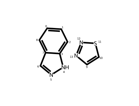 c1ccc2[nH]ncc2c1.c1csnn1